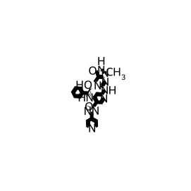 Cn1[nH]c(=O)c2cnc(Nc3cc(N[C@H](CO)c4ccccc4)c(-c4nc(-c5ccncc5)no4)cn3)nc21